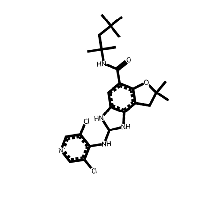 CC(C)(C)CC(C)(C)NC(=O)c1cc2c(c3c1OC(C)(C)C3)NC(Nc1c(Cl)cncc1Cl)N2